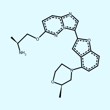 C[C@H](N)COc1ccc2ncc(-c3cc4c(N5CCO[C@H](C)C5)cccc4o3)n2n1